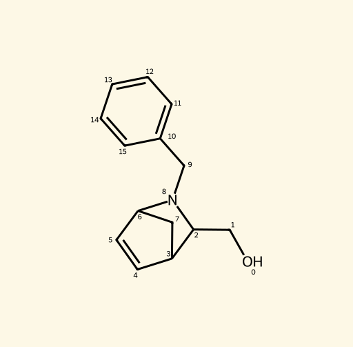 OCC1C2C=CC(C2)N1Cc1ccccc1